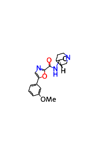 COc1cccc(-c2cnc(C(=O)N[C@H]3CN4CCC3CC4)o2)c1